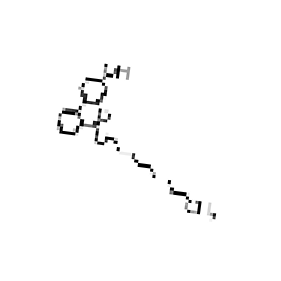 CCCCCCCCCCOC(=O)c1ccccc1-c1ccc(O)cc1